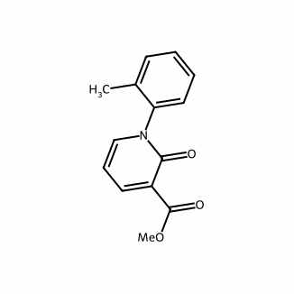 COC(=O)c1cccn(-c2ccccc2C)c1=O